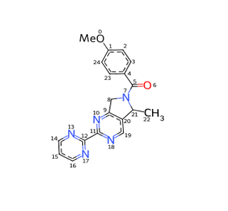 COc1ccc(C(=O)N2Cc3nc(-c4ncccn4)ncc3C2C)cc1